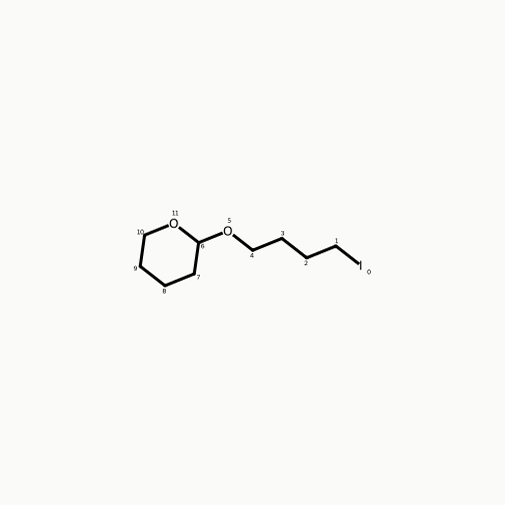 ICCCCOC1CCCCO1